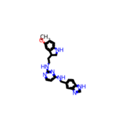 COc1ccc2c(c1)C(CCNc1nccc(NCc3ccc4[nH]cnc4c3)n1)CN2